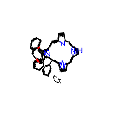 C1=Cc2cc3c(-c4ccccc4)c(-c4ccccc4)c(c(-c4ccccc4)c4nc(cc5ccc(cc1n2)[nH]5)C=C4)n3-c1ccccc1.[Cr]